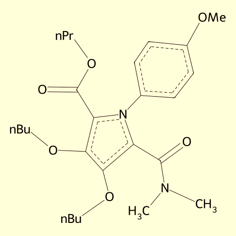 CCCCOc1c(OCCCC)c(C(=O)N(C)C)n(-c2ccc(OC)cc2)c1C(=O)OCCC